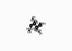 CC(C)CCNc1ncnc2ccc(-c3cccc(C(=O)NCCO)c3)cc12.Cc1cc(-c2ccc3ncnc(NCCC(C)C)c3c2)cc(C)c1O